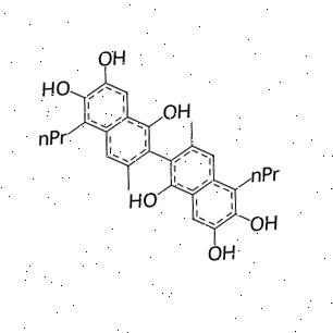 CCCc1c(O)c(O)cc2c(O)c(-c3c(C)cc4c(CCC)c(O)c(O)cc4c3O)c(C)cc12